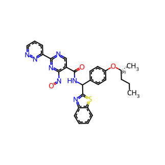 CCC[C@@H](C)Oc1ccc(C(NC(=O)c2cnc(-c3cccnn3)nc2N=O)c2nc3ccccc3s2)cc1